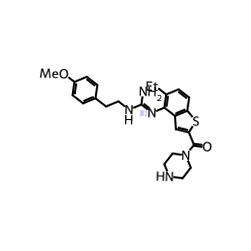 CCc1ccc2sc(C(=O)N3CCNCC3)cc2c1/N=C(\N)NCCc1ccc(OC)cc1